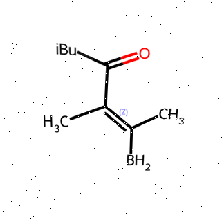 B/C(C)=C(\C)C(=O)C(C)CC